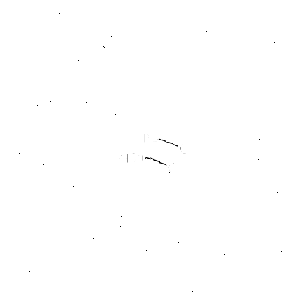 [Cl][Pd].[Cl][SnH]